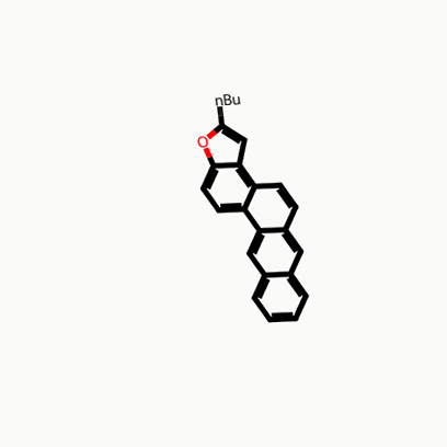 CCCCc1cc2c(ccc3c4cc5ccccc5cc4ccc23)o1